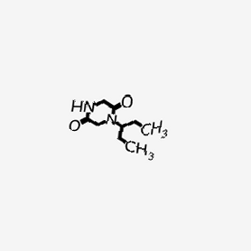 CCC(CC)N1CC(=O)NCC1=O